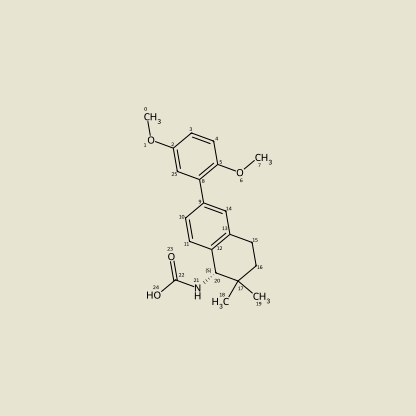 COc1ccc(OC)c(-c2ccc3c(c2)CCC(C)(C)[C@@H]3NC(=O)O)c1